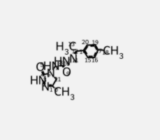 CC1=NNC(=O)N(NC(=O)N/N=C(\C)c2ccc(C)cc2)C1